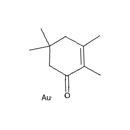 CC1=C(C)C(=O)CC(C)(C)C1.[Au]